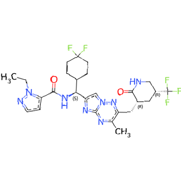 CCn1nccc1C(=O)N[C@H](c1cn2nc(C[C@H]3C[C@@H](C(F)(F)F)CNC3=O)c(C)nc2n1)C1CCC(F)(F)CC1